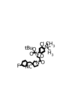 CN(C)c1cc2c(cc1Cl)N(C(=O)OC(C)(C)C)CC(C(=O)N1CCC(C#N)(Cc3ccc(F)cc3)C1)O2